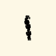 CC/C=C/[C@H]1CO[C@H](CCC2COC(c3ccc(OCC(F)(F)F)cc3)OC2)OC1